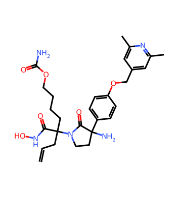 C=CCC(CCCCOC(N)=O)(C(=O)NO)N1CCC(N)(c2ccc(OCc3cc(C)nc(C)c3)cc2)C1=O